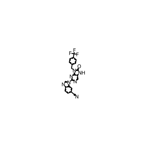 N#Cc1ccc2ncn(-c3ncc4[nH]c(=O)n(Cc5ccc(C(F)(F)F)cc5)c4n3)c2c1